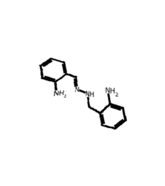 Nc1ccccc1C=NNCc1ccccc1N